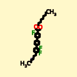 CC/C=C/CCc1ccc(-c2ccc(-c3ccc(C4COC(CCCCCCCC)OC4)c(F)c3)cc2)c(F)c1F